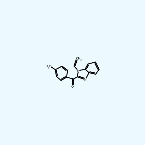 C=Cn1c(C(=O)c2ccc(C)cc2)nc2ccccc21